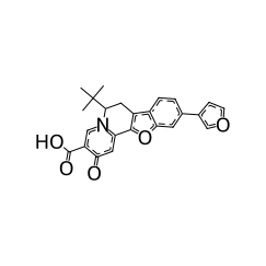 CC(C)(C)C1Cc2c(oc3cc(-c4ccoc4)ccc23)-c2cc(=O)c(C(=O)O)cn21